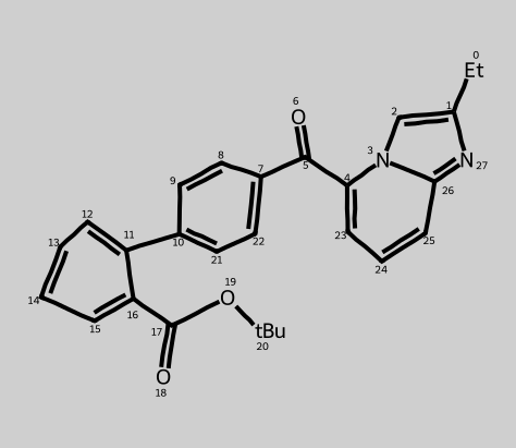 CCc1cn2c(C(=O)c3ccc(-c4ccccc4C(=O)OC(C)(C)C)cc3)cccc2n1